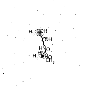 COP(=O)(O)OCC(CO)CCCCNC(=O)[C@H](CNC(C)=O)NC(C)=O